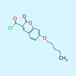 CCCCCOc1ccc2cc(C(=O)Cl)c(=O)oc2c1